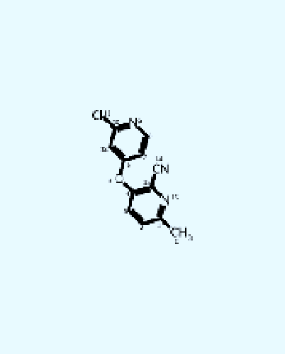 Cc1ccc(Oc2ccnc(Cl)c2)c(C#N)n1